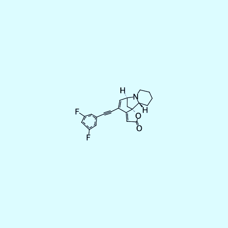 O=C1C=C2C(C#Cc3cc(F)cc(F)c3)=C[C@@H]3C[C@@]2(O1)[C@H]1CCCCN31